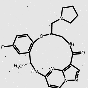 C[C@H]1Nc2ccn3ncc(c3n2)C(=O)NCC(CN2CCCC2)Oc2ccc(F)cc21